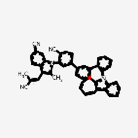 C/C(C#N)=C\c1c(C)n(-c2cc(-c3cccc(-c4ccccc4-n4c5c(c6ccccc64)C=CC=CC5)c3)ccc2C#N)c2cc(C#N)ccc12